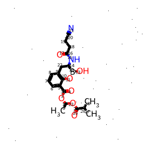 CC(OC(=O)c1cccc2c1OB(O)C(NC(=O)CCC#N)C2)OC(=O)C(C)C